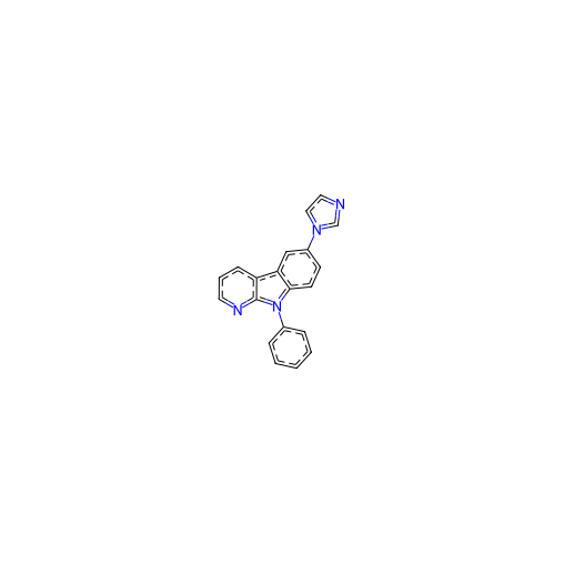 c1ccc(-n2c3ccc(-n4ccnc4)cc3c3cccnc32)cc1